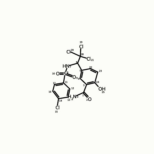 NC(=O)c1cc(C(NS(=O)(=O)c2ccc(Cl)cc2)C(Cl)(Cl)Cl)ccc1O